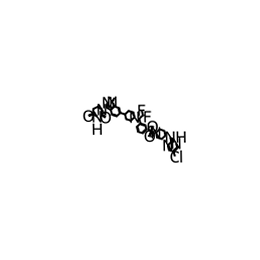 Cn1nc(N2CCC(=O)NC2=O)c2ccc(C3CCN(C(c4cccc(S(=O)(=O)N5CCC(Nc6ncc(Cl)cn6)CC5)c4)C(F)F)CC3)cc21